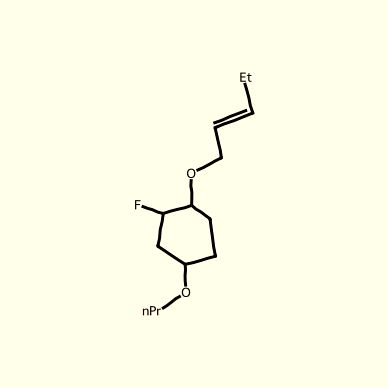 CCC=CCOC1CCC(OCCC)CC1F